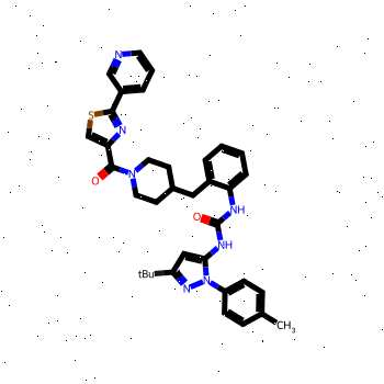 Cc1ccc(-n2nc(C(C)(C)C)cc2NC(=O)Nc2ccccc2CC2CCN(C(=O)c3csc(-c4cccnc4)n3)CC2)cc1